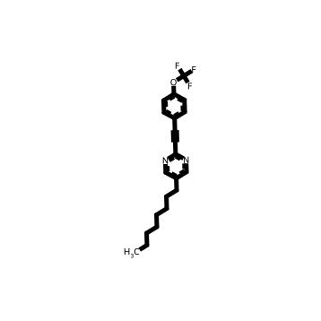 CCCCCCCCc1cnc(C#Cc2ccc(OC(F)(F)F)cc2)nc1